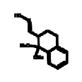 COC1(OC)c2ccccc2CCC1C=NO